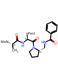 CCCCC[C@H](NC(=O)[C@H](C)NC)C(=O)N1CCC[C@H]1CNC(=O)c1ccccc1